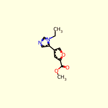 CCn1cncc1-c1coc(C(=O)OC)c1